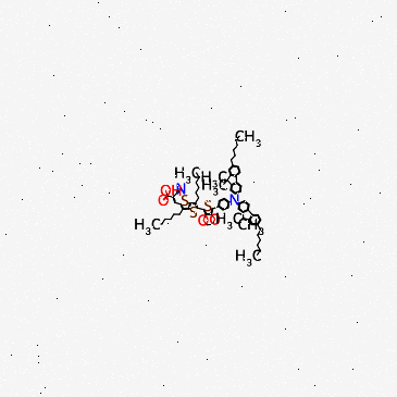 CCCCCCc1ccc2c(c1)C(C)(C)c1cc(N(c3ccc(-c4sc(-c5sc6c(CCCCCC)c(/C=C(\C#N)C(=O)O)sc6c5CCCCCC)c5c4OCCO5)cc3)c3ccc4c(c3)C(C)(C)c3cc(CCCCCC)ccc3-4)ccc1-2